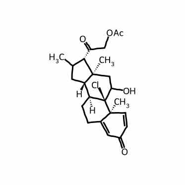 CC(=O)OCC(=O)[C@H]1C(C)C[C@H]2[C@@H]3CCC4=CC(=O)C=C[C@]4(C)[C@@]3(Cl)C(O)C[C@]12C